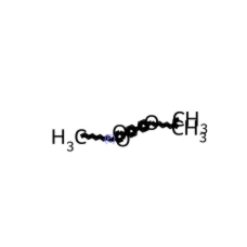 CCCCCCC/C=C/C1COC(c2ccc(-c3ccc(OCCCCCC(C)CC)cc3)cc2)OC1